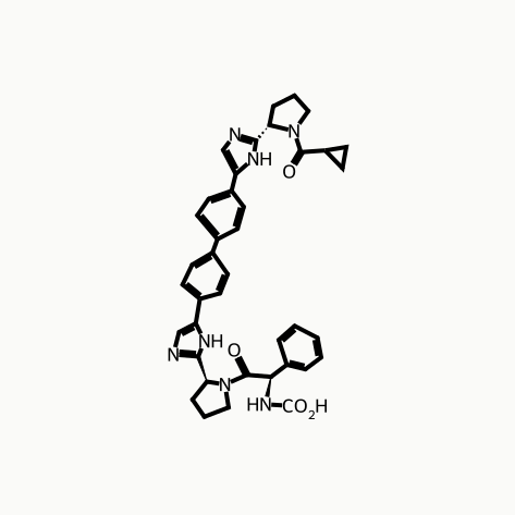 O=C(O)N[C@@H](C(=O)N1CCC[C@H]1c1ncc(-c2ccc(-c3ccc(-c4cnc([C@@H]5CCCN5C(=O)C5CC5)[nH]4)cc3)cc2)[nH]1)c1ccccc1